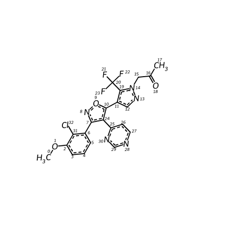 COc1cccc(-c2noc(-c3cnn(CC(C)=O)c3C(F)(F)F)c2-c2ccncn2)c1Cl